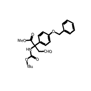 COC(=O)C(CC=O)(NC(=O)OC(C)(C)C)c1ccc(OCc2ccccc2)cc1